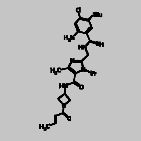 C/C=C/C(=O)N1CC(NC(=O)c2c(C)nc(CNC(=N)c3cc(C(C)(C)C)c(Cl)cc3N)n2C(C)C)C1